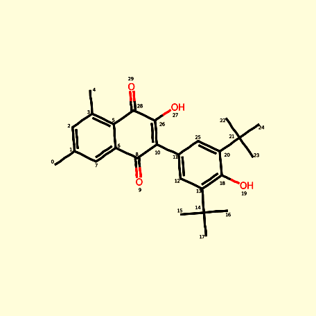 Cc1cc(C)c2c(c1)C(=O)C(c1cc(C(C)(C)C)c(O)c(C(C)(C)C)c1)=C(O)C2=O